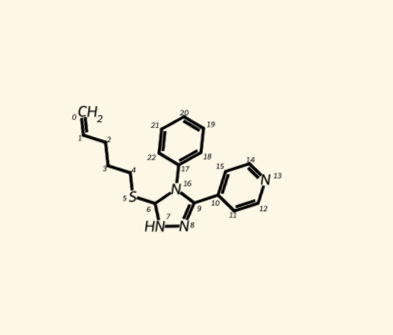 C=CCCCSC1NN=C(c2ccncc2)N1c1ccccc1